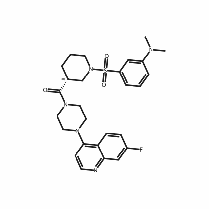 CN(C)c1cccc(S(=O)(=O)N2CCC[C@@H](C(=O)N3CCN(c4ccnc5cc(F)ccc45)CC3)C2)c1